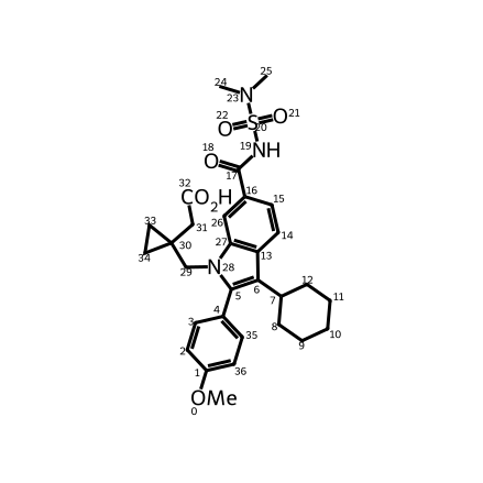 COc1ccc(-c2c(C3CCCCC3)c3ccc(C(=O)NS(=O)(=O)N(C)C)cc3n2CC2(CC(=O)O)CC2)cc1